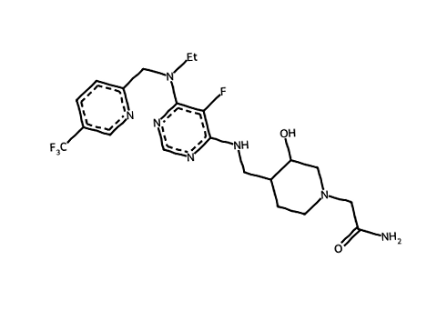 CCN(Cc1ccc(C(F)(F)F)cn1)c1ncnc(NCC2CCN(CC(N)=O)CC2O)c1F